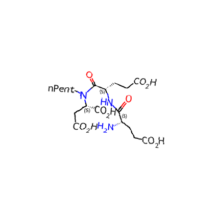 CCCCCN(C(=O)[C@H](CCC(=O)O)NC(=O)[C@@H](N)CCC(=O)O)[C@@H](CC(=O)O)C(=O)O